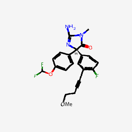 COCCC#Cc1cc([C@@]2(c3ccc(OC(F)F)cc3)N=C(N)N(C)C2=O)ccc1F